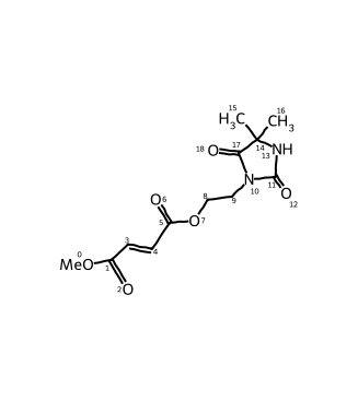 COC(=O)C=CC(=O)OCCN1C(=O)NC(C)(C)C1=O